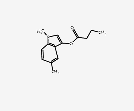 CCCC(=O)Oc1cn(C)c2ccc(C)cc12